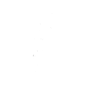 CC(C(=O)NCC(F)(F)C(F)(F)F)C(=O)N[C@H]1CN(C=O)c2ccccc2N(C)C1=O